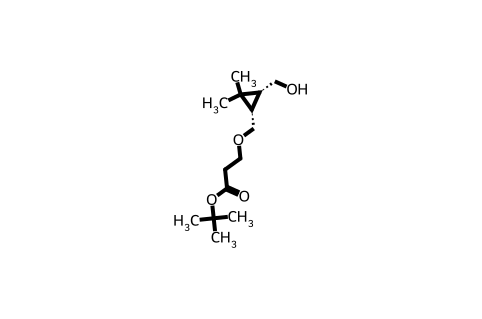 CC(C)(C)OC(=O)CCOC[C@H]1[C@@H](CO)C1(C)C